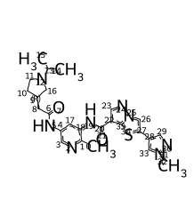 Cc1ncc(NC(=O)C[C@H]2CCN(C(C)C)C2)cc1NC(=O)c1cnn2cc(-c3cnn(C)c3)sc12